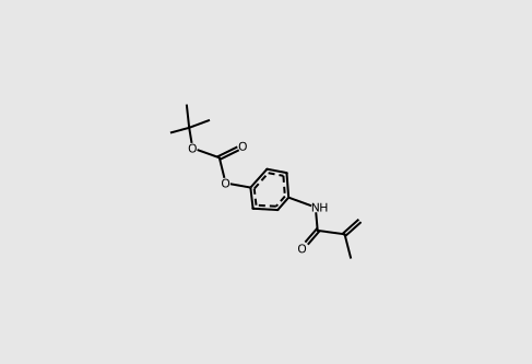 C=C(C)C(=O)Nc1ccc(OC(=O)OC(C)(C)C)cc1